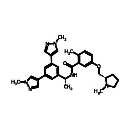 Cc1ccc(OC[C@@H]2CCCN2C)cc1C(=O)N[C@H](C)c1cc(-c2cnn(C)c2)cc(-c2cnn(C)c2)c1